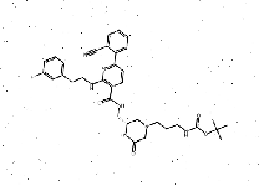 CC(C)(C)OC(=O)NCCCN1CC(=O)N[C@H](CNC(=O)c2ccc(-c3ccccc3C#N)nc2NCCc2cccc(F)c2)C1